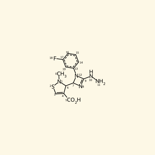 CN1SC=C(C(=O)O)C1C1N=C(NN)N1c1cccc(F)c1